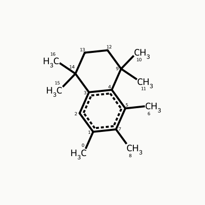 Cc1cc2c(c(C)c1C)C(C)(C)CCC2(C)C